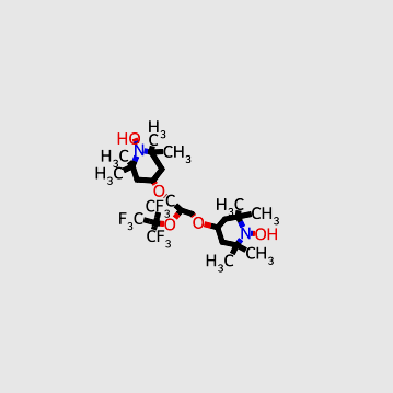 CC1(C)CC(OCC(COC2CC(C)(C)N(O)C(C)(C)C2)OC(C(F)(F)F)(C(F)(F)F)C(F)(F)F)CC(C)(C)N1O